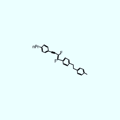 CCCc1ccc(C#CC(F)=C(F)c2ccc(CCc3ccc(C)cc3)cc2)cc1